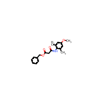 COc1cc(C)c(NC(=O)CC(=O)OCc2ccccc2)c(C)c1